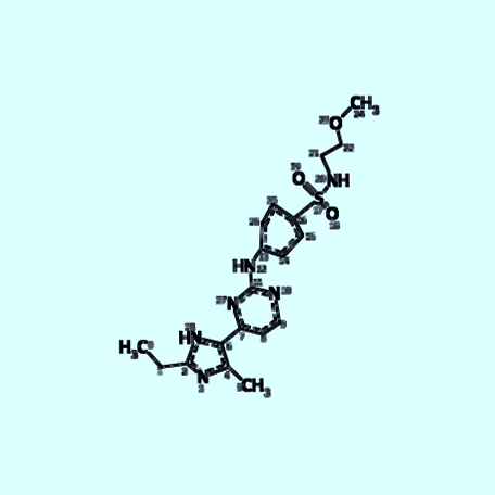 CCc1nc(C)c(-c2ccnc(Nc3ccc(S(=O)(=O)NCCOC)cc3)n2)[nH]1